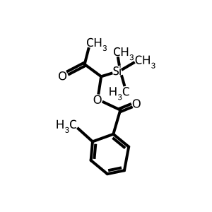 CC(=O)C(OC(=O)c1ccccc1C)[Si](C)(C)C